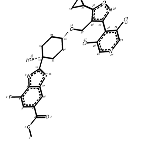 COC(=O)c1cc(F)c2nc([C@]3(O)CC[C@@H](OCc4c(-c5c(Cl)cncc5Cl)noc4C4CC4)CC3)sc2c1